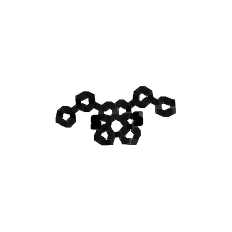 c1ccc(-c2cccc(-c3cc4cc(-c5cccc(-c6ccccc6)c5)c5sc6cccc7c6c5c4c4c3sc3cccc-7c34)c2)cc1